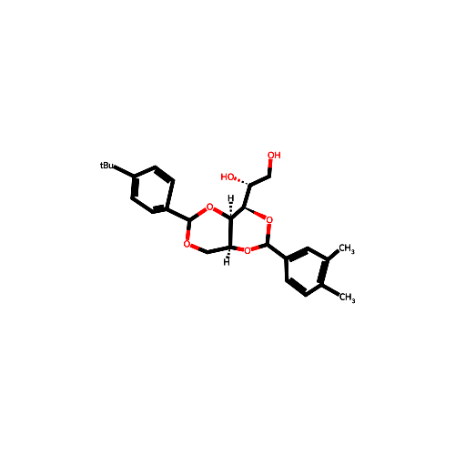 Cc1ccc(C2O[C@H]([C@H](O)CO)[C@@H]3OC(c4ccc(C(C)(C)C)cc4)OC[C@@H]3O2)cc1C